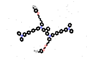 C=Cc1ccc(OCCCCCCc2ccc(N(c3ccc(-c4ccc(-c5ccc(-c6ccc(N(c7ccccc7)c7ccccc7)cc6)cc5)cc4)cc3)c3cccc(C4=C(c5cccc(N(c6ccc(CCCOCCOc7ccc(C=C)cc7)cc6)c6ccc(-c7ccc(-c8ccc(-c9ccc(N(c%10ccccc%10)c%10ccccc%10)cc9)cc8)cc7)cc6)c5)CCCC4)c3)cc2)cc1